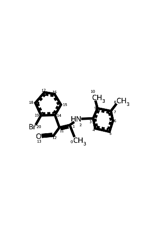 C/C(Nc1cccc(C)c1C)=C(\C=O)c1ccccc1Br